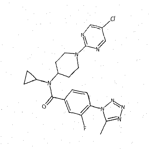 Cc1nnnn1-c1ccc(C(=O)N(C2CC2)C2CCN(c3ncc(Cl)cn3)CC2)cc1F